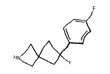 Fc1ccc(C2(F)CC3(CNC3)C2)cc1